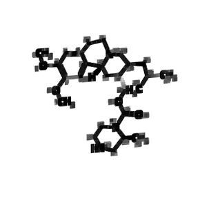 COc1cc2c(cc1OC)[C@H]1C[C@@H](COC(=O)N3CCNC[C@@H]3C)[C@H](CC(C)C)CN1CC2